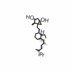 C=C1[C@@H](O)C[C@@]2(O)CC12C/C=C1\CCC[C@]2(C)[C@@H]([C@H](C)/C=C/[C@H](C)C(C)C)CC[C@@H]12